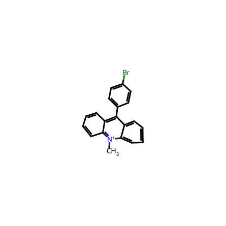 C[n+]1c2ccccc2c(-c2ccc(Br)cc2)c2ccccc21